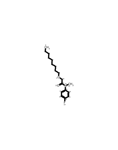 CCCCCCCCCOCC(=O)N(C)c1ccc(F)cc1